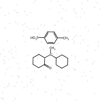 C[S+](C1CCCCC1)C1CCCCC1=O.Cc1ccc(S(=O)(=O)O)cc1